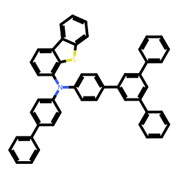 c1ccc(-c2ccc(N(c3ccc(-c4cc(-c5ccccc5)cc(-c5ccccc5)c4)cc3)c3cccc4c3sc3ccccc34)cc2)cc1